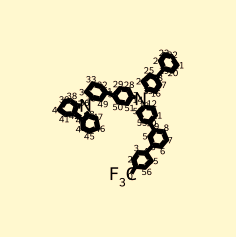 FC(F)(F)c1ccc(-c2cccc(-c3ccc(N(c4ccc(-c5ccccc5)cc4)c4ccc(-c5cccc(-n6c7ccccc7c7ccccc76)c5)cc4)cc3)c2)cc1